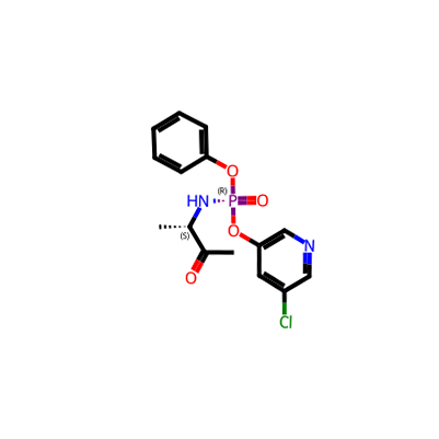 CC(=O)[C@H](C)N[P@@](=O)(Oc1ccccc1)Oc1cncc(Cl)c1